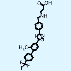 Cc1cc(-c2nc(-c3ccc(CNCCC(=O)O)cc3)no2)ccc1-c1ccc(C(F)(F)F)cc1